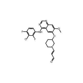 COc1cc2ncnc(Nc3ccc(F)c(Cl)c3F)c2cc1OC1CCCN(C=CC=O)C1